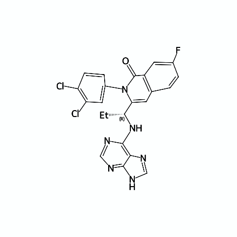 CC[C@@H](Nc1ncnc2[nH]cnc12)c1cc2ccc(F)cc2c(=O)n1-c1ccc(Cl)c(Cl)c1